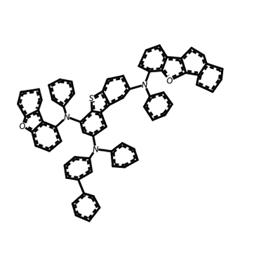 c1ccc(-c2cccc(N(c3ccccc3)c3cc(N(c4ccccc4)c4cccc5oc6ccccc6c45)c4sc5ccc(N(c6ccccc6)c6cccc7c6oc6c8ccccc8ccc76)cc5c4c3)c2)cc1